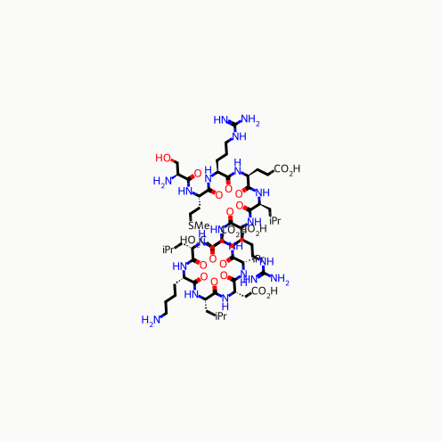 CSCC[C@H](NC(=O)[C@@H](N)CO)C(=O)N[C@@H](CCCNC(=N)N)C(=O)N[C@@H](CCC(=O)O)C(=O)N[C@@H](CC(C)C)C(=O)N[C@@H](CCCNC(=N)N)C(=O)N[C@@H](CCC(=O)O)C(=O)N[C@@H](CC(C)C)C(=O)N[C@@H](CCCCN)C(=O)N[C@@H](CC(C)C)C(=O)N[C@@H](CC(=O)O)C(=O)N[C@H](C(=O)N[C@@H](CC(=O)O)C(=O)O)C(C)C